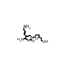 NC/C=C/c1cn(C2CCC(CCO)O2)c(=O)nc1N